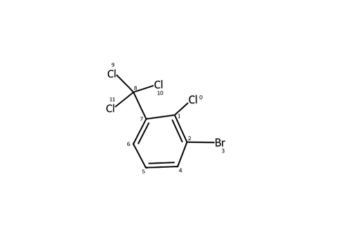 Clc1c(Br)cccc1C(Cl)(Cl)Cl